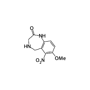 COc1ccc2c(c1[N+](=O)[O-])CNCC(=O)N2